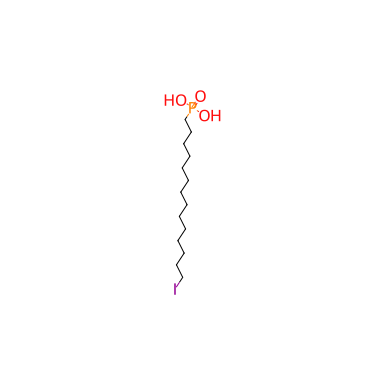 O=P(O)(O)CCCCCCCCCCCCCCI